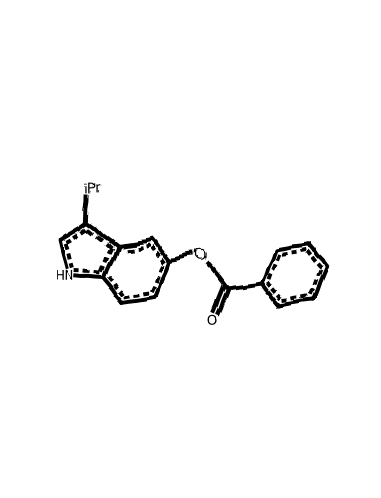 CC(C)c1c[nH]c2ccc(OC(=O)c3ccccc3)cc12